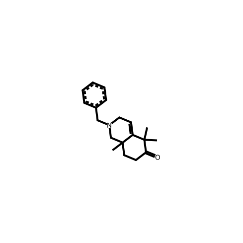 CC12CCC(=O)C(C)(C)C1=CCN(Cc1ccccc1)C2